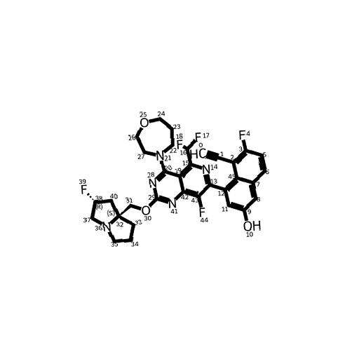 C#Cc1c(F)ccc2cc(O)cc(-c3nc(C(F)F)c4c(N5CCCOCC5)nc(OC[C@@]56CCCN5C[C@H](F)C6)nc4c3F)c12